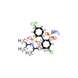 CC(C)N(C(C)C)S(=O)(=O)c1cc(Cl)ccc1-c1ccc(Cl)cc1S(N)(=O)=O